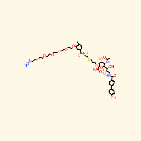 CC(=O)N[C@H]1[C@H]([C@H](O)[C@H](O)CNC(=O)c2ccc(-c3ccc(O)cc3)cc2)O[C@@](OCCCSCCNC(=O)c2ccc(C)c(OCCOCCOCCOCCOCCOCCN=[N+]=[N-])c2)(C(=O)O)C[C@@H]1O